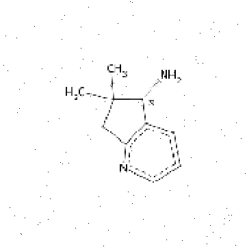 CC1(C)Cc2ncccc2[C@H]1N